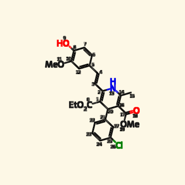 CCOC(=O)C1=C(C=Cc2ccc(O)c(OC)c2)NC(C)=C(C(=O)OC)C1c1cccc(Cl)c1